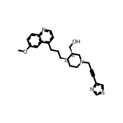 COc1ccc2nccc(CCC[C@@H]3CCN(CC#Cc4cscn4)C[C@@H]3CO)c2c1